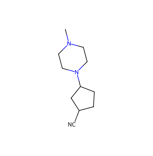 CN1CCN(C2CCC(C#N)C2)CC1